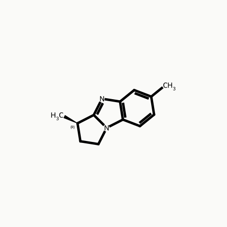 Cc1ccc2c(c1)nc1n2CC[C@H]1C